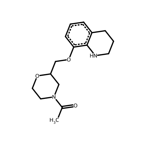 CC(=O)N1CCOC(COc2cccc3c2NCCC3)C1